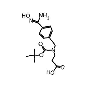 CC(C)(C)OC(=O)N(CCC(=O)O)Cc1ccc(C(N)=NO)cc1